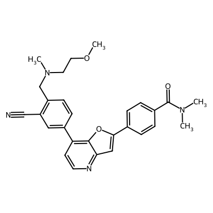 COCCN(C)Cc1ccc(-c2ccnc3cc(-c4ccc(C(=O)N(C)C)cc4)oc23)cc1C#N